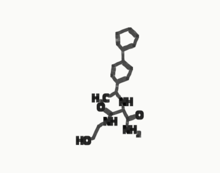 CC(NC(C(N)=O)C(=O)NCCO)c1ccc(-c2ccccc2)cc1